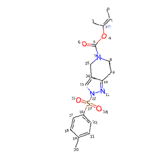 C/C=C(\C)OC(=O)N1CCc2nn(S(=O)(=O)c3ccc(C)cc3)cc2C1